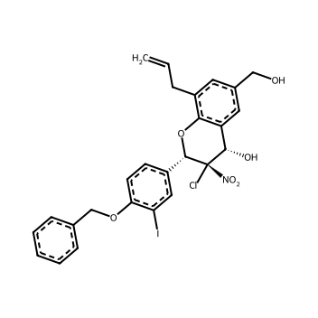 C=CCc1cc(CO)cc2c1O[C@@H](c1ccc(OCc3ccccc3)c(I)c1)[C@](Cl)([N+](=O)[O-])[C@H]2O